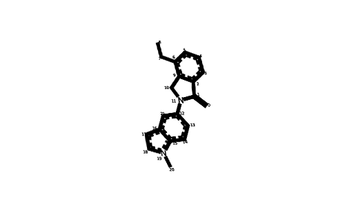 C=C1c2cccc(CC)c2CN1c1ccc2c(ccn2C)c1